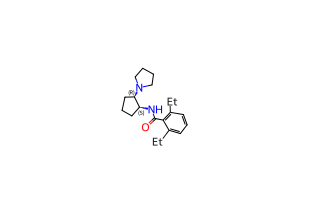 CCc1cccc(CC)c1C(=O)N[C@H]1CCC[C@H]1N1CCCC1